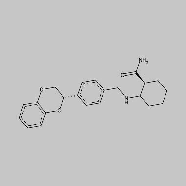 NC(=O)[C@H]1CCCCC1NCc1ccc([C@H]2COc3ccccc3O2)cc1